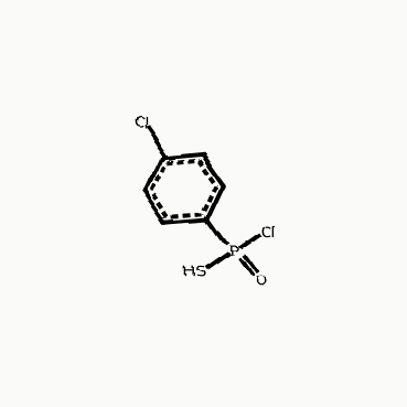 O=P(S)(Cl)c1ccc(Cl)cc1